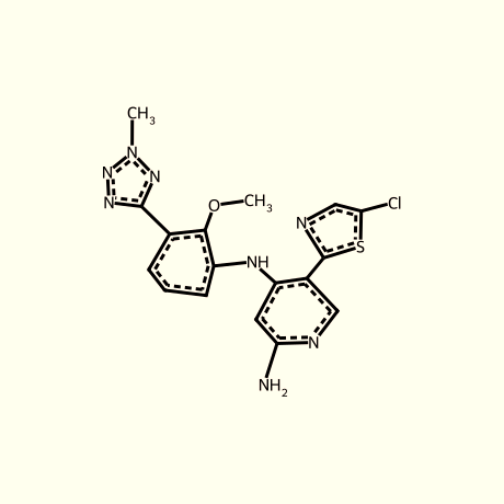 COc1c(Nc2cc(N)ncc2-c2ncc(Cl)s2)cccc1-c1nnn(C)n1